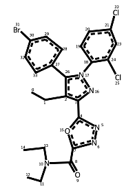 CCc1c(-c2nnc(C(=O)N(CC)CC)o2)nn(-c2ccc(Cl)cc2Cl)c1-c1ccc(Br)cc1